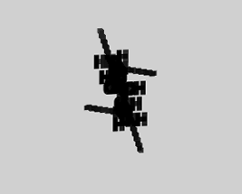 CCCCCCCCCCCCNC(=O)CN(CCNC(=O)CCN(CCO)CCN(CCOI)CCC(=O)NCCN(CC(=O)NCCCCCCCCCCCC)CC(=O)NCCCCCCCCCCCC)CC(=O)NCCCCCCCCCCCC